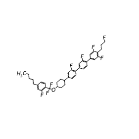 CCCCCc1ccc(C(F)(F)OC2CCC(c3ccc(-c4ccc(-c5cc(F)c(CCCF)c(F)c5)c(F)c4)c(F)c3)CC2)c(F)c1